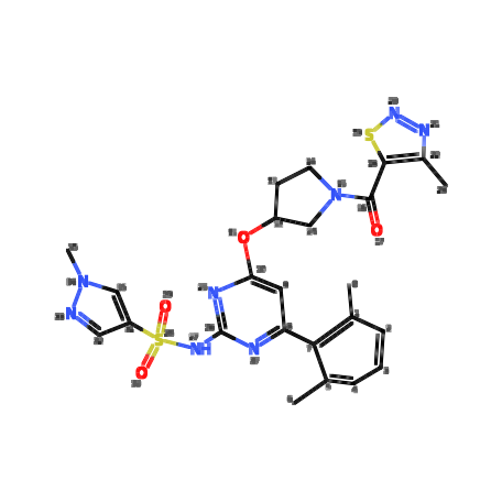 Cc1cccc(C)c1-c1cc(OC2CCN(C(=O)c3snnc3C)C2)nc(NS(=O)(=O)c2cnn(C)c2)n1